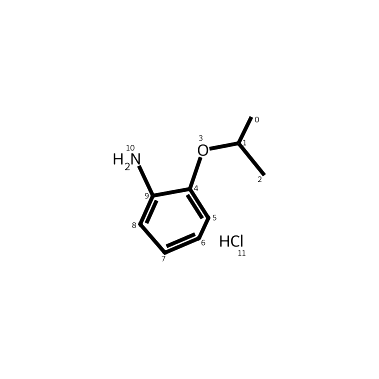 CC(C)Oc1ccccc1N.Cl